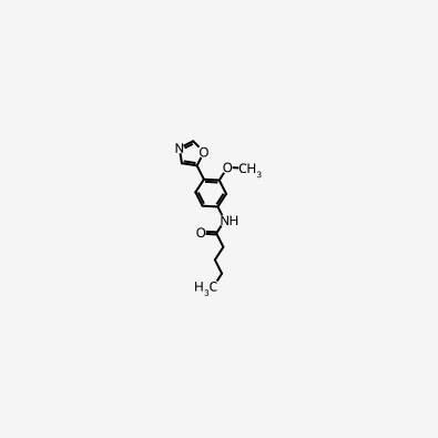 CCCCC(=O)Nc1ccc(-c2cnco2)c(OC)c1